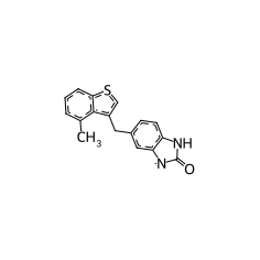 Cc1cccc2scc(Cc3ccc4c(c3)[N]C(=O)N4)c12